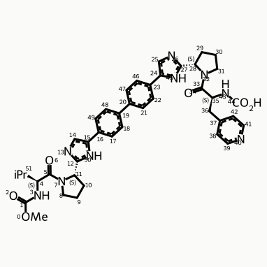 COC(=O)N[C@H](C(=O)N1CCC[C@H]1c1ncc(-c2ccc(-c3ccc(-c4cnc([C@@H]5CCCN5C(=O)[C@H](Cc5ccncc5)NC(=O)O)[nH]4)cc3)cc2)[nH]1)C(C)C